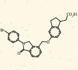 CCOC(=O)CC1CCc2cc(OCc3cccc4c3CN(c3ccc(Br)cc3)C4=O)ccc21